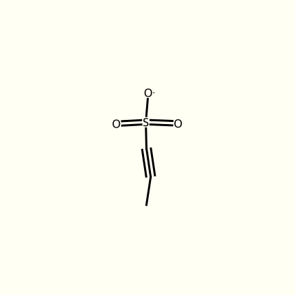 CC#CS([O])(=O)=O